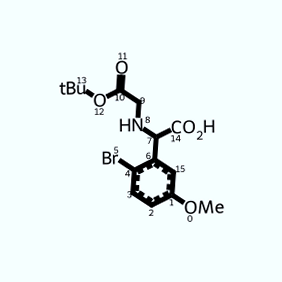 COc1ccc(Br)c(C(NCC(=O)OC(C)(C)C)C(=O)O)c1